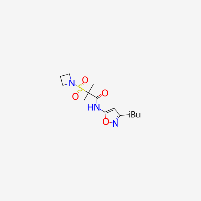 CCC(C)c1cc(NC(=O)C(C)(C)S(=O)(=O)N2CCC2)on1